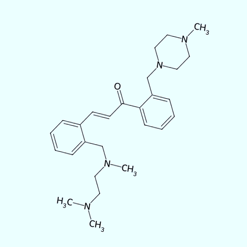 CN(C)CCN(C)Cc1ccccc1C=CC(=O)c1ccccc1CN1CCN(C)CC1